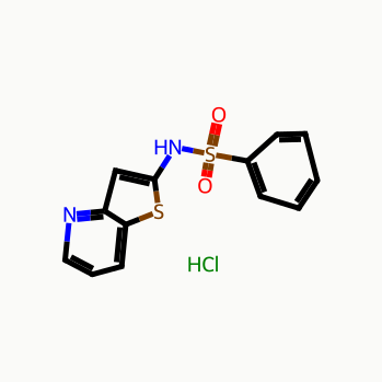 Cl.O=S(=O)(Nc1cc2ncccc2s1)c1ccccc1